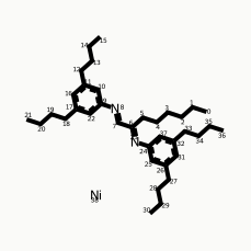 CCCCCCC(/C=N/c1cc(CCCC)cc(CCCC)c1)=N\c1cc(CCCC)cc(CCCC)c1.[Ni]